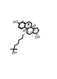 C=C[C@@]12CCc3cc(O)ccc3[C@H]1[C@@H](CCCCCC(C)(C)O)C[C@@]1(C)[C@H]2CC[C@@H]1O